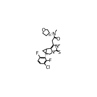 CN(C(=O)Cc1c2n(c(=S)n1C)C[C@@]1(c3c(F)ccc(Cl)c3F)CC21)[C@@H]1CCOC1